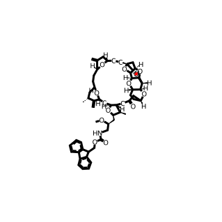 C=C1C[C@@H]2CC[C@@]34C[C@H]5OC6[C@@H](O[C@H]7CC[C@H](CC(=O)C[C@@H]8[C@@H](C)[C@@H](C[C@@H](CNC(=O)OCC9c%10ccccc%10-c%10ccccc%109)OC)O[C@H]8C[C@H]8O[C@@H](CC[C@@H]1O2)C[C@@H](C)C8=C)O[C@@H]7[C@@H]6O3)[C@H]5O4